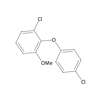 COc1cccc(Cl)c1Oc1ccc(Cl)cc1